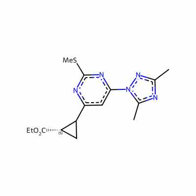 CCOC(=O)[C@H]1CC1c1cc(-n2nc(C)nc2C)nc(SC)n1